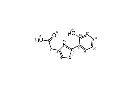 O=C(O)Cc1csc(-c2ccccc2O)n1